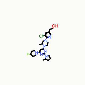 CC1CN(c2ncc(CCO)cc2Cl)CCN1c1cc(N2CCC(F)CC2)nc(N2CCCC2C)n1